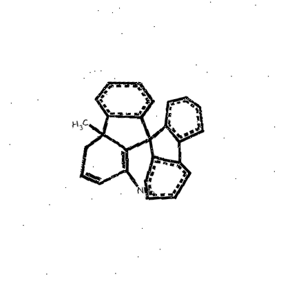 CC12CC=CC(N)=C1C1(c3ccccc3-c3ccccc31)c1ccccc12